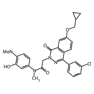 CNc1ccc(N(C)C(=O)Cn2nc(-c3cccc(Cl)c3)c3ccc(OCC4CC4)cc3c2=O)cc1O